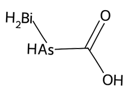 O=C(O)[AsH][BiH2]